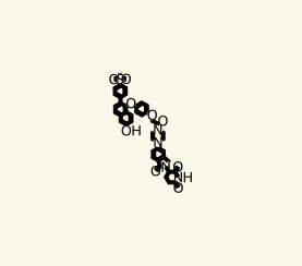 CS(=O)(=O)c1ccc(-c2ccc3cc(O)ccc3c2Oc2ccc(OCC(=O)N3CCN(c4ccc5c(c4)CN(C4CCC(=O)NC4=O)C5=O)CC3)cc2)cc1